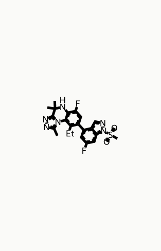 CCc1c(-c2cc(F)cc3c2cnn3S(C)(=O)=O)cc(F)c2c1-n1c(C)nnc1C(C)(C)N2